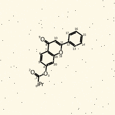 CC(C)C(=O)Oc1ccc2c(=O)cc(-c3ccccc3)oc2c1